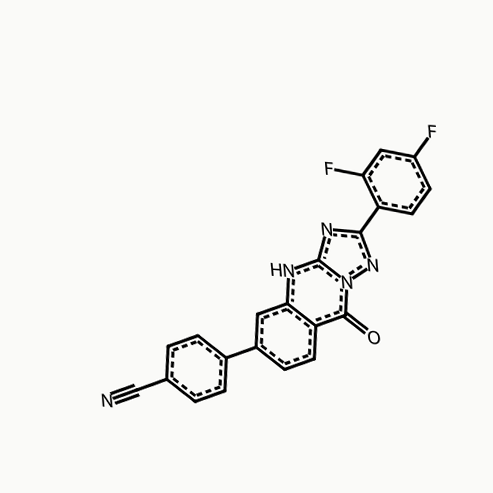 N#Cc1ccc(-c2ccc3c(=O)n4nc(-c5ccc(F)cc5F)nc4[nH]c3c2)cc1